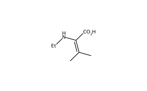 CCNC(C(=O)O)=C(C)C